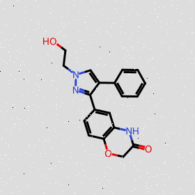 O=C1COc2ccc(-c3nn(CCO)cc3-c3ccccc3)cc2N1